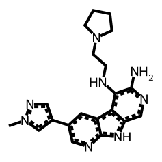 Cn1cc(-c2cnc3[nH]c4cnc(N)c(NCCN5CCCC5)c4c3c2)cn1